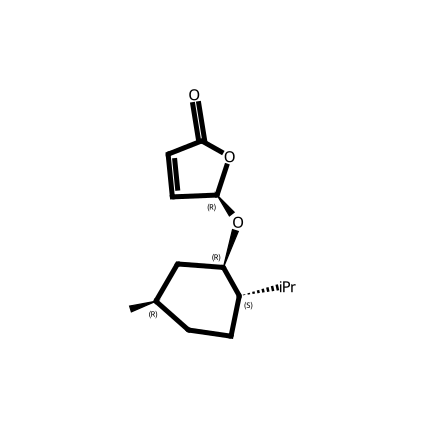 CC(C)[C@@H]1CC[C@@H](C)C[C@H]1O[C@H]1C=CC(=O)O1